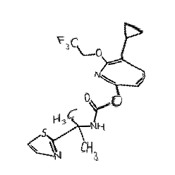 CC(C)(NC(=O)Oc1ccc(C2CC2)c(OCC(F)(F)F)n1)c1nccs1